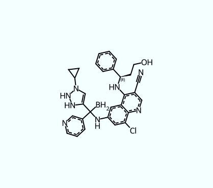 BC(Nc1cc(Cl)c2ncc(C#N)c(N[C@H](CCO)c3ccccc3)c2c1)(C1=CN(C2CC2)NN1)c1cccnc1